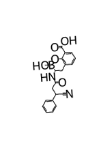 N#CC(CC(=O)N[C@H]1Cc2cccc(C(=O)O)c2OB1O)c1ccccc1